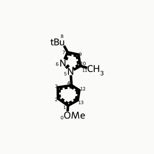 COc1ccc(-n2nc(C(C)(C)C)cc2C)cc1